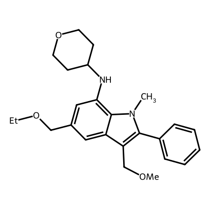 CCOCc1cc(NC2CCOCC2)c2c(c1)c(COC)c(-c1ccccc1)n2C